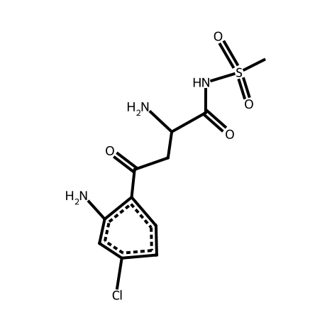 CS(=O)(=O)NC(=O)C(N)CC(=O)c1ccc(Cl)cc1N